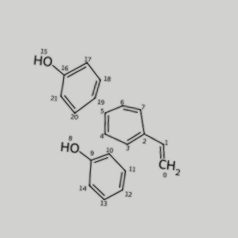 C=Cc1ccccc1.Oc1ccccc1.Oc1ccccc1